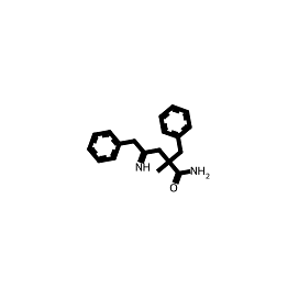 CC(CC(=N)Cc1ccccc1)(Cc1ccccc1)C(N)=O